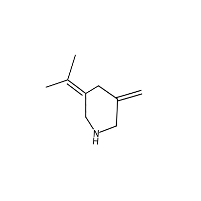 C=C1CNCC(=C(C)C)C1